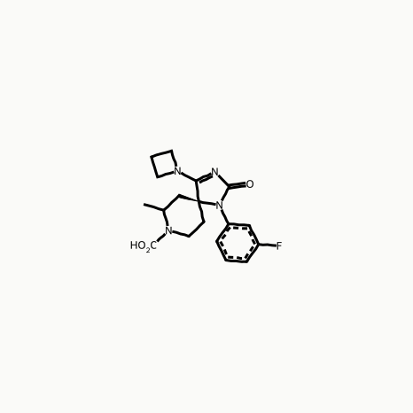 CC1C[C@@]2(CCN1C(=O)O)C(N1CCC1)=NC(=O)N2c1cccc(F)c1